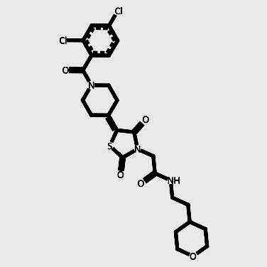 O=C(CN1C(=O)SC(=C2CCN(C(=O)c3ccc(Cl)cc3Cl)CC2)C1=O)NCCC1CCOCC1